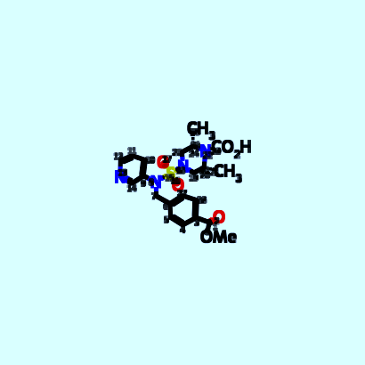 COC(=O)c1ccc(CN(c2cccnc2)S(=O)(=O)N2C[C@@H](C)N(C(=O)O)[C@@H](C)C2)cc1